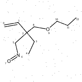 C=CC(CC)(CN=O)COCCC